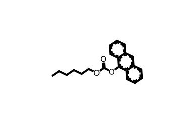 CCCCCCOC(=O)Oc1c2ccccc2cc2ccccc12